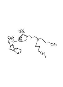 CCCCN(CCCC)CCCc1ccc(C(=O)c2c(CC)cc3ccccn23)cc1.Cl